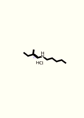 CCCCCN/C=C(\C)CC.Cl